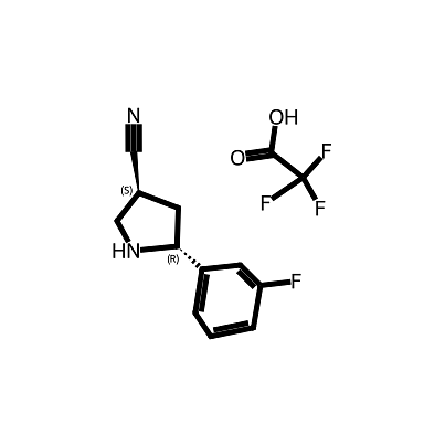 N#C[C@@H]1CN[C@@H](c2cccc(F)c2)C1.O=C(O)C(F)(F)F